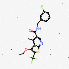 CCOc1c(C(F)(F)F)sc2ncc(C(=O)NCc3cccc(F)c3)c(C)c12